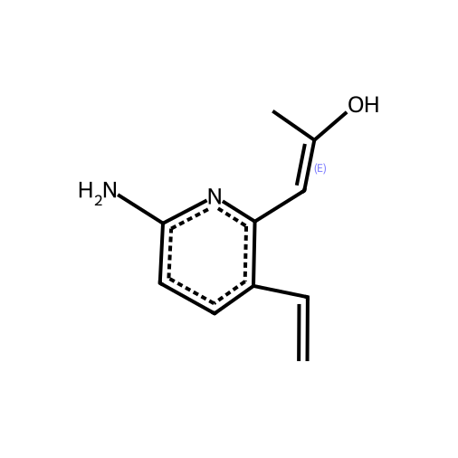 C=Cc1ccc(N)nc1/C=C(\C)O